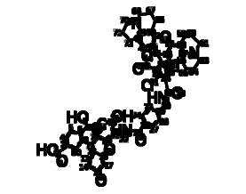 O=C(O)c1ccc(C(=O)O)c(-c2c3ccc(=O)cc-3oc3c(CNC(=O)c4ccc(CNC(=O)c5cc(Cl)c6c(c5Cl)C(=O)OC65c6cc7c8c(c6Oc6c5cc5c9c6CCCN9CCC5)CCCN8CCC7)cc4)c(O)ccc23)c1